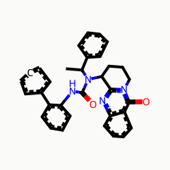 CC(c1ccccc1)N(C(=O)Nc1ccccc1-c1ccccc1)C1CCCn2c1nc1ccccc1c2=O